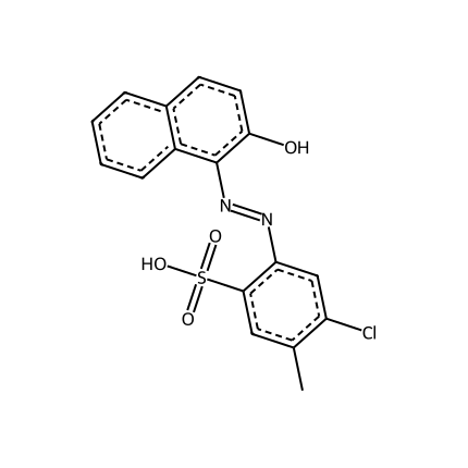 Cc1cc(S(=O)(=O)O)c(N=Nc2c(O)ccc3ccccc23)cc1Cl